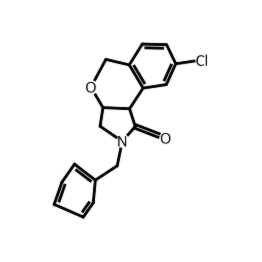 O=C1C2c3cc(Cl)ccc3COC2CN1Cc1ccccc1